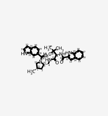 C[C@H]1C[C@@H](CNC(=O)[C@@H](NC(=O)c2cc3ccccc3[nH]2)C(C)(C)C)N(C(=O)c2ccc3cc[nH]c3c2)C1